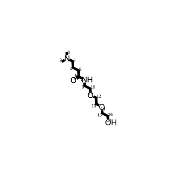 CN(C)CCCC(=O)NCCOCCOCCO